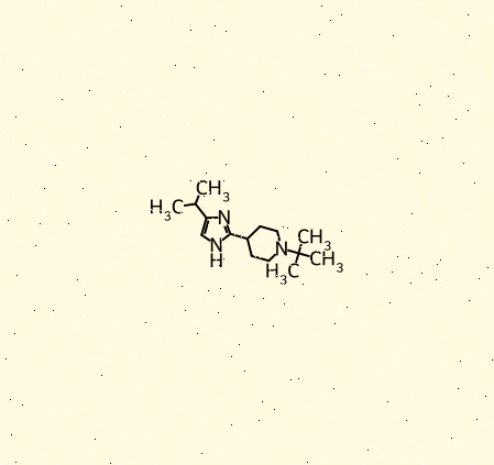 CC(C)c1c[nH]c(C2CCN(C(C)(C)C)CC2)n1